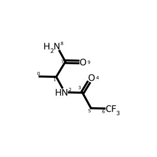 CC(NC(=O)CC(F)(F)F)C(N)=O